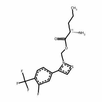 CCC[C@H](N)C(=O)OCn1scc1-c1ccc(C(F)(F)F)c(F)c1